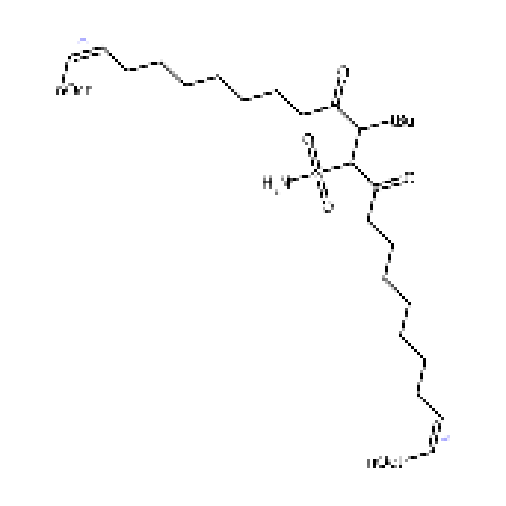 CCCCCCCC/C=C\CCCCCCCC(=O)C(C(C(=O)CCCCCCC/C=C\CCCCCCCC)S(N)(=O)=O)C(C)(C)C